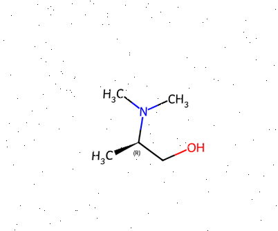 C[C@H](CO)N(C)C